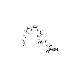 CCCCCC/C=C\C/C=C\C/C=C\CC1OC1CCCC(=O)O